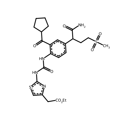 CCOC(=O)Cc1csc(NC(=O)Nc2ccc(C(CCS(C)(=O)=O)C(N)=O)cc2C(=O)C2CCCC2)n1